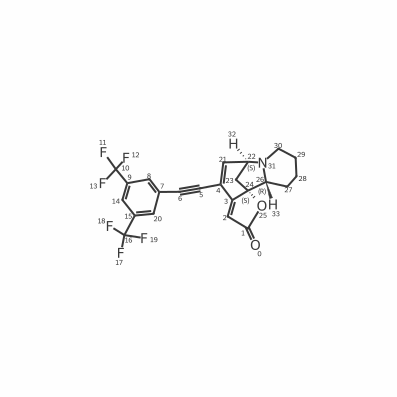 O=C1C=C2C(C#Cc3cc(C(F)(F)F)cc(C(F)(F)F)c3)=C[C@@H]3C[C@@]2(O1)[C@H]1CCCCN31